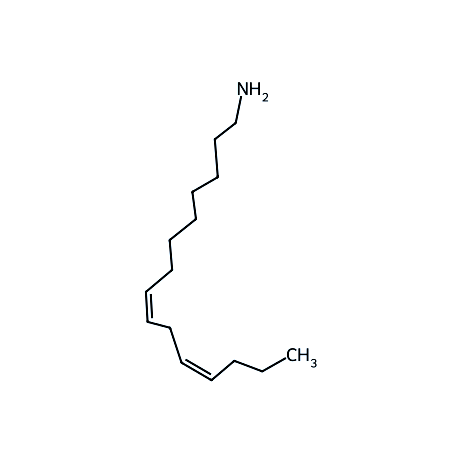 CCC/C=C\C/C=C\CCCCCCCN